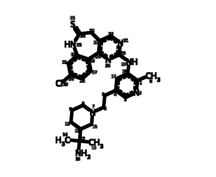 Cc1ncc(CCN2CCCC(C(C)(C)N)C2)cc1Nc1ncc2c(n1)-c1ccc(Cl)cc1NC(=S)C2